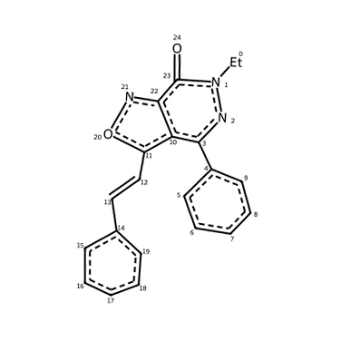 CCn1nc(-c2ccccc2)c2c(C=Cc3ccccc3)onc2c1=O